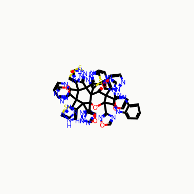 O=C1C(c2cccnn2)(c2ncco2)C(c2ncon2)(c2nc3ccccc3nc2-n2ccnc2)OC2(c3nc[nH]n3)C1(c1nncs1)C(c1cnccn1)(c1ncsn1)C(c1csnn1)(c1ncccn1)C(c1nnco1)(c1nccs1)C2(c1c[nH]nn1)c1conn1